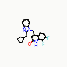 O=c1cc(Cn2c(CC3CCCC3)nc3ccccc32)c2ccc(F)c(F)c2[nH]1